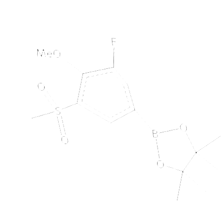 COc1c(F)cc(B2OC(C)(C)C(C)(C)O2)cc1S(C)(=O)=O